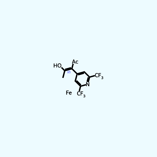 CC(=O)/C(=C(/C)O)c1cc(C(F)(F)F)nc(C(F)(F)F)c1.[Fe]